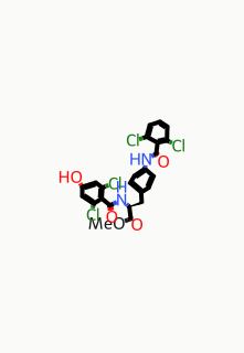 COC(=O)[C@H](Cc1ccc(NC(=O)c2c(Cl)cccc2Cl)cc1)NC(=O)c1c(Cl)cc(O)cc1Cl